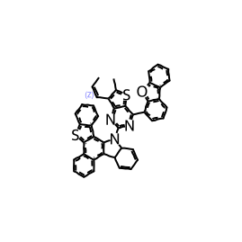 C/C=C\c1c(C)sc2c(-c3cccc4c3oc3ccccc34)nc(N3c4c(c5ccccc5c5sc6ccccc6c45)C4C=CC=CC43)nc12